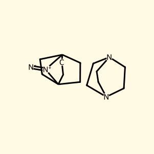 C1CN2CCN1CC2.[N-]=[N+]1C23CCC1(CC2)CC3